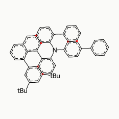 CC(C)(C)c1cc(-c2cccc3cccc(-c4ccccc4N(c4ccc(-c5ccccc5)cc4)c4ccccc4-c4ccccc4)c23)cc(C(C)(C)C)c1